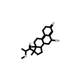 COC(C)C(=O)C1(C)CCC2C3CC(O)C4=CC(=O)CCC4=C3CCC21C